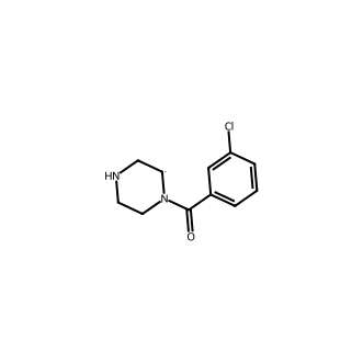 O=C(c1cccc(Cl)c1)N1[CH]CNCC1